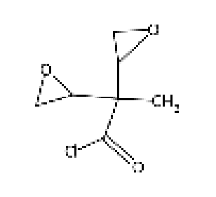 CC(C(=O)Cl)(C1CO1)C1CO1